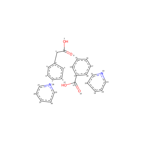 O=C(O)Cc1ccccc1.O=C(O)c1ccccc1.c1ccncc1.c1ccncc1